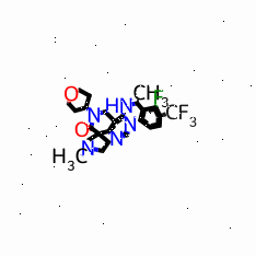 C[C@@H](Nc1ncnc2c1CN(C1CCOCC1)C(=O)C21CCN(C)C1)c1cccc(C(F)(F)F)c1F